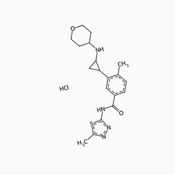 Cc1nnc(NC(=O)c2ccc(C)c(C3CC3NC3CCOCC3)c2)s1.Cl